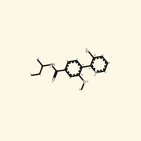 CCC(C)NC(=O)c1ccc(-c2ncccc2Cl)c(OC)c1